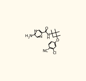 CC1(NC(=O)c2cnc(N)cn2)CC(C)(Oc2ccc(C#N)c(Cl)c2)C1(C)C